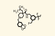 CC(C)CC1(C(=O)NCc2cc(CF)cc(C(F)(F)F)c2)CCN(Cc2ccc3c(c2)OCO3)CC1